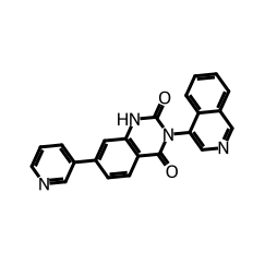 O=c1[nH]c2cc(-c3cccnc3)ccc2c(=O)n1-c1cncc2ccccc12